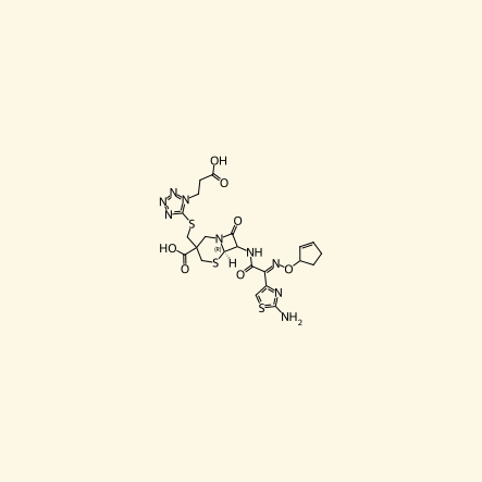 Nc1nc(C(=NOC2C=CCC2)C(=O)NC2C(=O)N3CC(CSc4nnnn4CCC(=O)O)(C(=O)O)CS[C@H]23)cs1